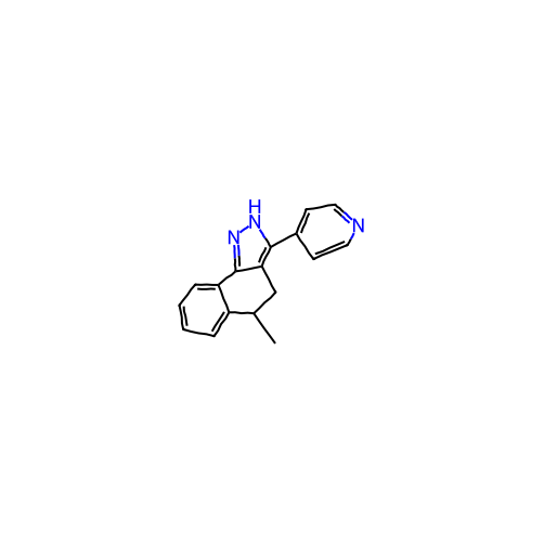 CC1Cc2c(n[nH]c2-c2ccncc2)-c2ccccc21